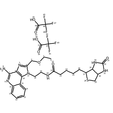 CCOCc1nc2c(N)nc3ccccc3c2n1CCNC(=O)CCCCC1SCC2NC(=O)NC21.O=C(O)C(F)(F)F.O=C(O)C(F)(F)F